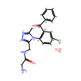 Cc1nnc(CNC(=O)CN)n1-c1ccc(Cl)cc1C(=O)c1ccccc1.O